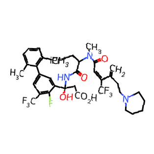 C=C(CCN1CCCCC1)/C(=C\C(=O)N(C)C(CC(C)C)C(=O)N[C@](O)(CC(=O)O)c1cc(-c2c(C)cccc2C)cc(C(F)(F)F)c1F)C(F)(F)F